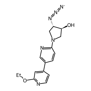 CCOc1cc(-c2ccc(N3C[C@H](N=[N+]=[N-])[C@@H](O)C3)nc2)ccn1